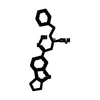 O=C(O)[C@H](CCc1ccccc1)CC(=NO)c1ccc2c3c(oc2c1)CCC3